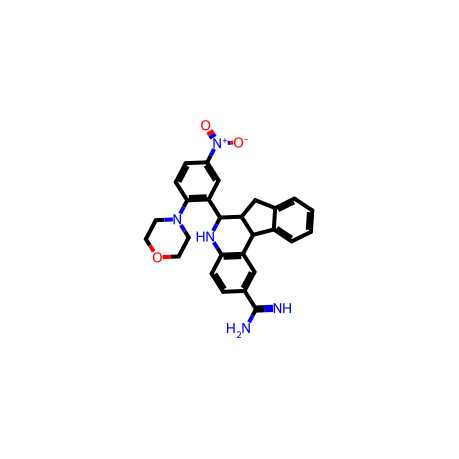 N=C(N)c1ccc2c(c1)C1c3ccccc3CC1C(c1cc([N+](=O)[O-])ccc1N1CCOCC1)N2